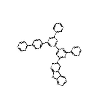 c1ccc(-c2cc(-c3ccc(-c4ccncc4)cc3)cc(-c3cc(-c4ccc5oc6ccccc6c5c4)nc(-c4ccccc4)n3)c2)cc1